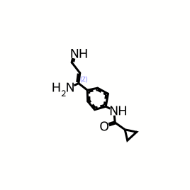 N=C/C=C(\N)c1ccc(NC(=O)C2CC2)cc1